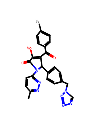 Cc1ccc(N2C(=O)C(O)=C(C(=O)c3ccc(C(C)C)cc3)C2c2ccc(Cn3cnnn3)cc2)nn1